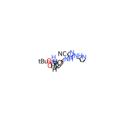 CC(C)(C)OC(=O)N[C@@H]1[C@@H]2CC3C[C@H]1C[C@@](CNc1nc(NCc4cccnc4)ncc1C#N)(C3)C2